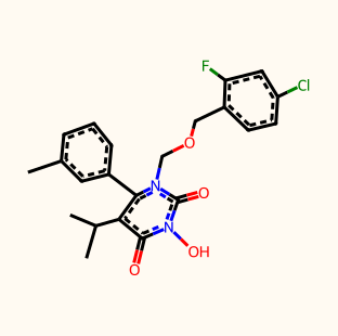 Cc1cccc(-c2c(C(C)C)c(=O)n(O)c(=O)n2COCc2ccc(Cl)cc2F)c1